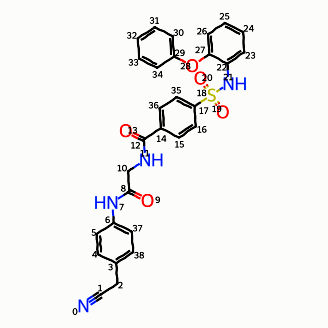 N#CCc1ccc(NC(=O)CNC(=O)c2ccc(S(=O)(=O)Nc3ccccc3Oc3ccccc3)cc2)cc1